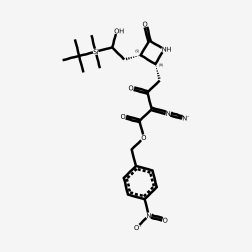 CC(C)(C)[Si](C)(C)C(O)C[C@@H]1C(=O)N[C@@H]1CC(=O)C(=[N+]=[N-])C(=O)OCc1ccc([N+](=O)[O-])cc1